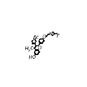 CC(=O)N1CC=C(C2=C(C)c3cc(O)ccc3OC2c2ccc(OCCN3CC(CF)C3)cc2)C1